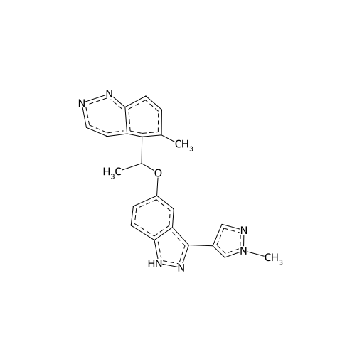 Cc1ccc2nnccc2c1C(C)Oc1ccc2[nH]nc(-c3cnn(C)c3)c2c1